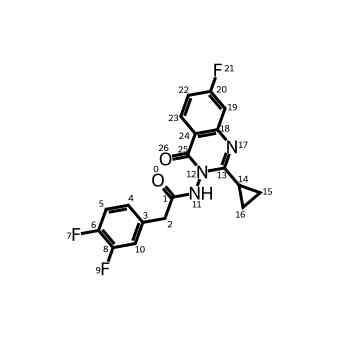 O=C(Cc1ccc(F)c(F)c1)Nn1c(C2CC2)nc2cc(F)ccc2c1=O